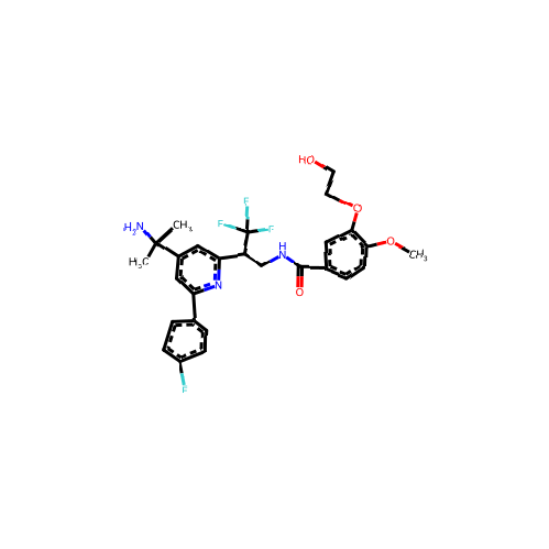 COc1ccc(C(=O)NCC(c2cc(C(C)(C)N)cc(-c3ccc(F)cc3)n2)C(F)(F)F)cc1OCCO